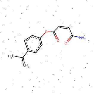 C=C(C)c1ccc(OC(=O)/C=C\C(N)=O)cc1